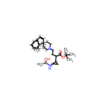 CB(O)NC1CC1C(CCN1CC[C@@]2(C=Cc3ccccc32)[C@@H](C)C1)C(=O)OC(C)(C)C